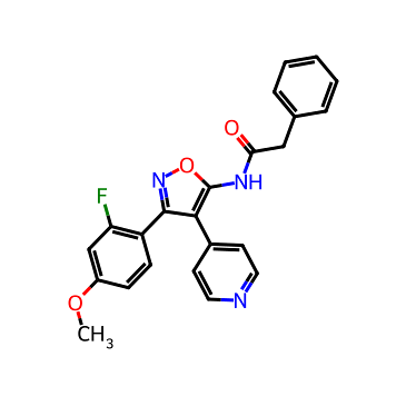 COc1ccc(-c2noc(NC(=O)Cc3ccccc3)c2-c2ccncc2)c(F)c1